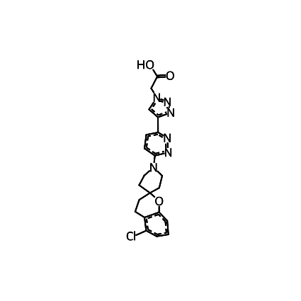 O=C(O)Cn1cc(-c2ccc(N3CCC4(CCc5c(Cl)cccc5O4)CC3)nn2)nn1